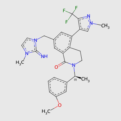 COc1cccc([C@H](C)N2CCc3c(cc(Cn4ccn(C)c4=N)cc3-c3cn(C)nc3C(F)(F)F)C2=O)c1